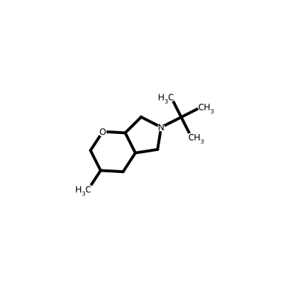 CC1COC2CN(C(C)(C)C)CC2C1